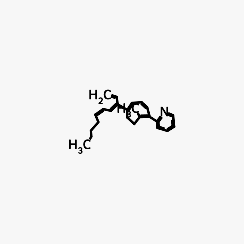 C=CC(=C\C=C/CCCC)/C1=C/C=C\C(c2ccccn2)=C(/C)CC1